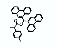 Cc1ccc([C@@H](C)C(=O)OC(c2cc3ccccc3c3ccccc23)c2cc3ccccc3c3ccccc23)cc1